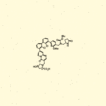 COc1nc(-c2cccc(-c3cccc(-c4ccn5c(=O)c(CN6C[C@H](O)C[C@@H]6C(=O)O)cnc5c4)c3Cl)c2Cl)ccc1CN(CC1CCC(=O)N1)C(=O)OC(C)(C)C